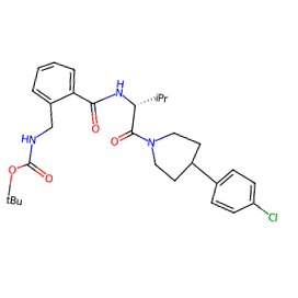 CC(C)[C@@H](NC(=O)c1ccccc1CNC(=O)OC(C)(C)C)C(=O)N1CCC(c2ccc(Cl)cc2)CC1